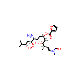 CO[C@@H](C[C@H](O)C(C)C)[C@@H](N)CC[C@@H](OC(=O)c1ccco1)[C@H](C)[C@H](O)[C@H](C)/C=C/N(C)C=O